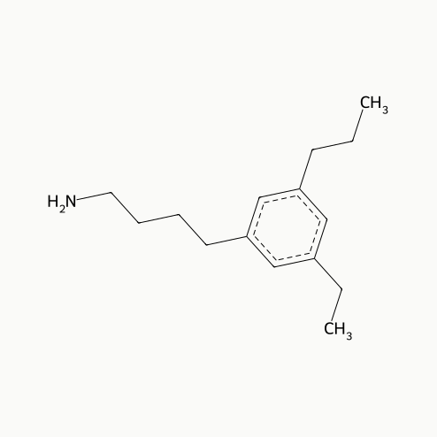 CCCc1cc(CC)cc(CCCCN)c1